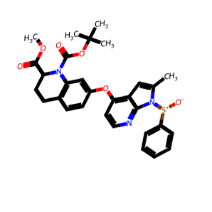 COC(=O)C1CCc2ccc(Oc3ccnc4c3cc(C)n4[S+]([O-])c3ccccc3)cc2N1C(=O)OC(C)(C)C